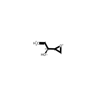 C=C[C@H](O)C1CO1